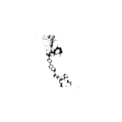 COC(=O)NC(C(=O)N1CC2(CC2)C[C@H]1c1ncc(-c2ccc3cc(-c4ccc(-c5cnc([C@@H](NC(=O)[C@@H](NC(=O)OC)C(C)C)C6CCCC6)[nH]5)cc4)ccc3c2)[nH]1)c1ccccc1